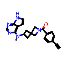 C#Cc1ccc(C(=O)N2CC3(CC(N(C)c4ncnc5[nH]ccc45)C3)C2)cc1